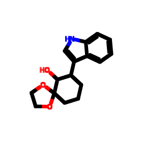 OC1C(c2c[nH]c3ccccc23)CCCC12OCCO2